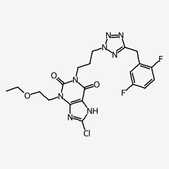 CCOCCn1c(=O)n(CCCn2nnc(Cc3cc(F)ccc3F)n2)c(=O)c2[nH]c(Cl)nc21